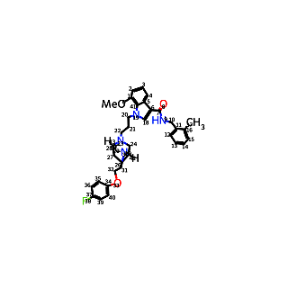 COc1cccc2c(C(=O)NCc3ccccc3C)cn(CCCN3C[C@@H]4CC[C@H]3CN4CCOc3ccc(F)cc3)c12